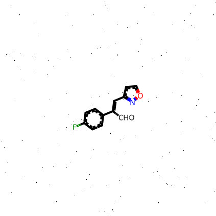 O=CC(=Cc1ccon1)c1ccc(F)cc1